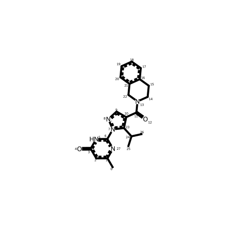 Cc1cc(=O)[nH]c(-n2ncc(C(=O)N3CCc4ccccc4C3)c2C(C)C)n1